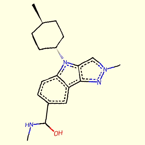 CNC(O)c1ccc2c(c1)c1nn(C)cc1n2[C@H]1CC[C@H](C)CC1